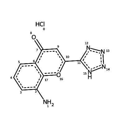 Cl.Nc1cccc2c(=O)cc(-c3nnn[nH]3)oc12